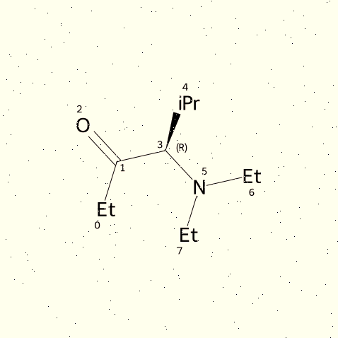 CCC(=O)[C@@H](C(C)C)N(CC)CC